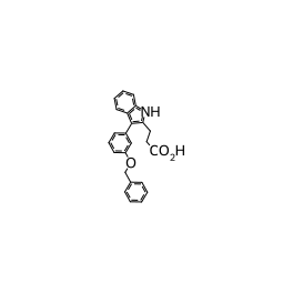 O=C(O)CCc1[nH]c2ccccc2c1-c1cccc(OCc2ccccc2)c1